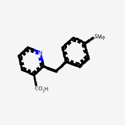 CSc1ccc(Cc2ncccc2C(=O)O)cc1